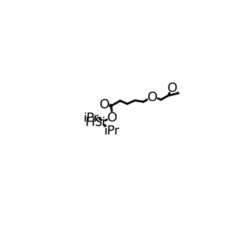 CC(C)[SiH](OC(=O)CCCCOCC1CO1)C(C)C